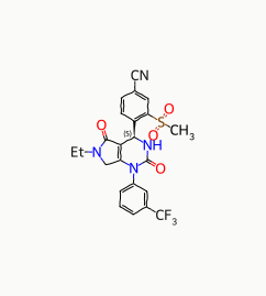 CCN1CC2=C(C1=O)[C@@H](c1ccc(C#N)cc1S(C)(=O)=O)NC(=O)N2c1cccc(C(F)(F)F)c1